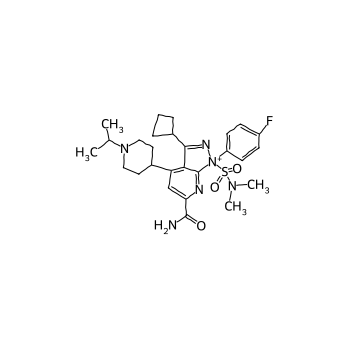 CC(C)N1CCC(c2cc(C(N)=O)nc3c2C(C2CCC2)=N[N+]3(c2ccc(F)cc2)S(=O)(=O)N(C)C)CC1